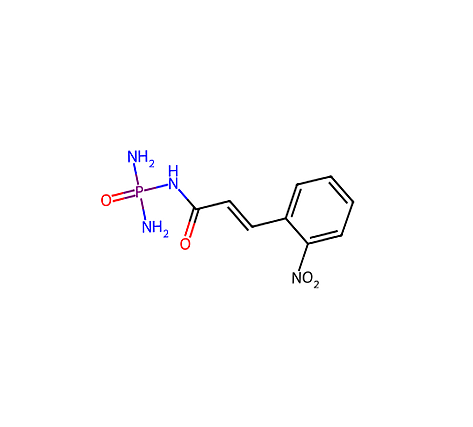 NP(N)(=O)NC(=O)C=Cc1ccccc1[N+](=O)[O-]